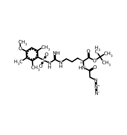 COc1cc(C)c(S(=O)(=O)NC(=N)NCCC[C@H](NC(=O)CN=[N+]=[N-])C(=O)OC(C)(C)C)c(C)c1C